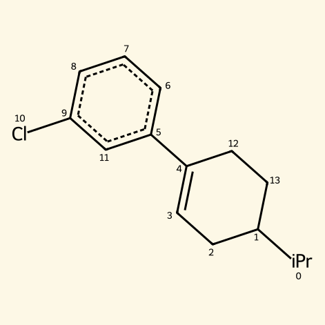 CC(C)C1CC=C(c2cccc(Cl)c2)CC1